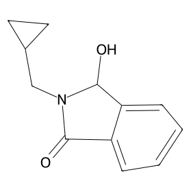 O=C1c2ccccc2C(O)N1CC1CC1